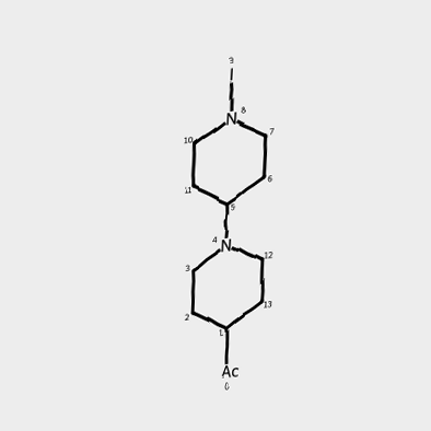 CC(=O)C1CCN(C2CCN(I)CC2)CC1